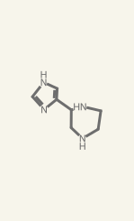 c1nc(C2CNCCN2)c[nH]1